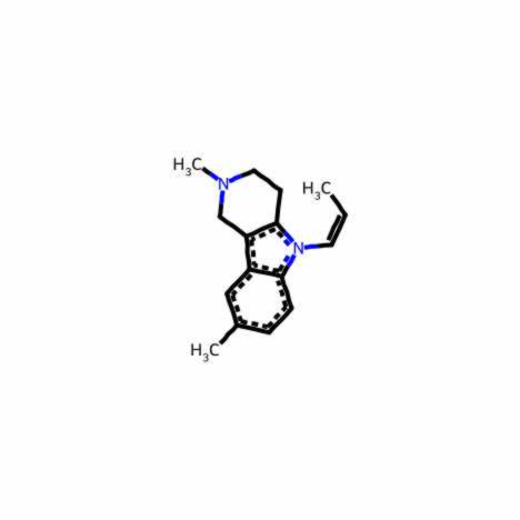 C/C=C\n1c2c(c3cc(C)ccc31)CN(C)CC2